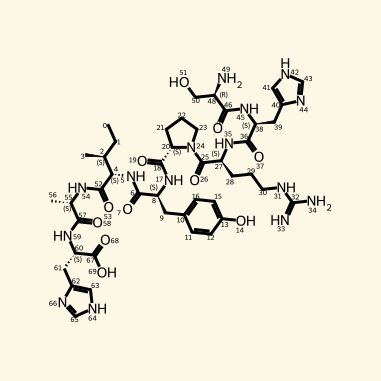 CC[C@H](C)[C@H](NC(=O)[C@H](Cc1ccc(O)cc1)NC(=O)[C@@H]1CCCN1C(=O)[C@H](CCCNC(=N)N)NC(=O)[C@H](Cc1c[nH]cn1)NC(=O)[C@H](N)CO)C(=O)N[C@@H](C)C(=O)N[C@@H](Cc1c[nH]cn1)C(=O)O